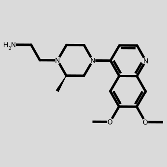 COc1cc2nccc(N3CCN(CCN)[C@H](C)C3)c2cc1OC